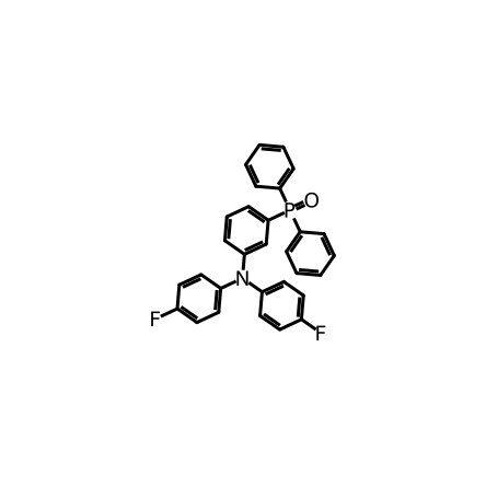 O=P(c1ccccc1)(c1ccccc1)c1cccc(N(c2ccc(F)cc2)c2ccc(F)cc2)c1